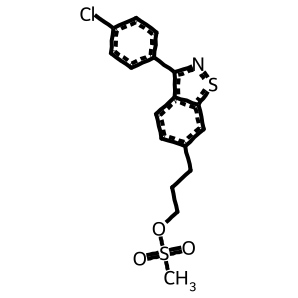 CS(=O)(=O)OCCCc1ccc2c(-c3ccc(Cl)cc3)nsc2c1